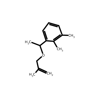 C=C(C)COC(C)c1cccc(C)c1C